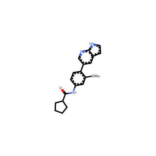 COc1cc(NC(=O)C2CCCC2)ccc1-c1cnc2[nH]ccc2c1